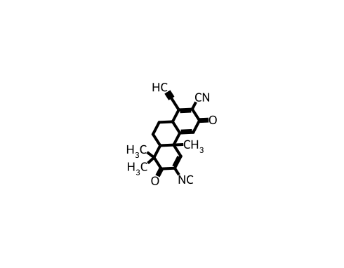 [C-]#[N+]C1=CC2(C)C3=CC(=O)C(C#N)=C(C#C)C3CCC2C(C)(C)C1=O